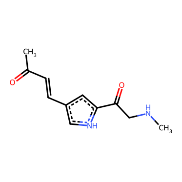 CNCC(=O)c1cc(/C=C/C(C)=O)c[nH]1